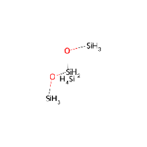 [SiH3]O[SiH2]O[SiH3].[SiH4]